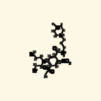 CN1CCN(CCCN(C)C(=O)c2cc(N(CCBr)CCBr)c(S(C)(=O)=O)cc2[N+](=O)[O-])CC1